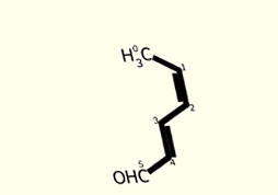 C/C=C\C=CC=O